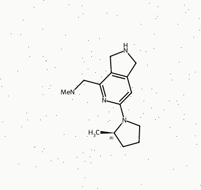 CNCc1nc(N2CCC[C@H]2C)cc2c1CNC2